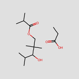 CC(C)C(=O)OCC(C)(C)C(O)C(C)C.CCC(=O)O